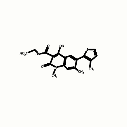 Cc1cc2c(cc1-c1sccc1C)c(O)c(C(=O)NCC(=O)O)c(=O)n2C